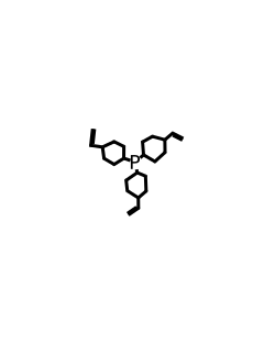 C=CC1CCC(P(C2CCC(C=C)CC2)C2CCC(C=C)CC2)CC1